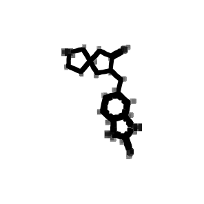 O=C1CC2(CCNC2)CC1Cc1ccc2[nH]c(=O)[nH]c2c1